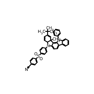 CC(C)(C)C1=CC2(C)c3c(ccc4c5ccccc5n(-c5ccccc5)c34)N(c3ccc(S(=O)(=O)c4ccc(C#N)cc4)cc3)C2C=C1